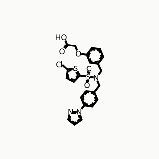 O=C(O)COc1cccc(CN(Cc2ccc(-n3cccn3)cc2)S(=O)(=O)c2ccc(Cl)s2)c1